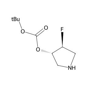 CC(C)(C)OC(=O)O[C@H]1CNC[C@@H]1F